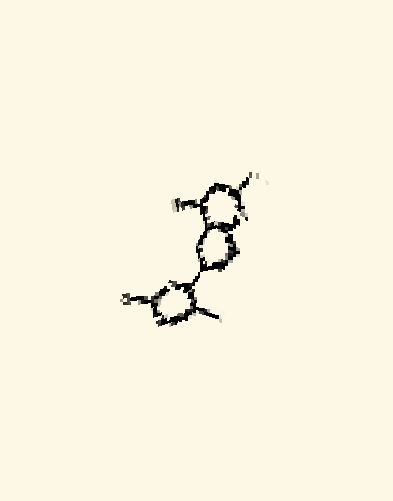 Cc1cc(C(C)C)c2cc(-c3nc(Cl)ncc3Cl)ccc2n1